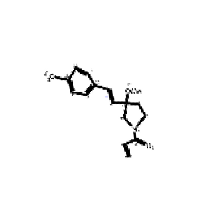 C=CC(=O)N1CCC(/C=C/c2ccc(C(F)(F)F)cc2)(OC)C1